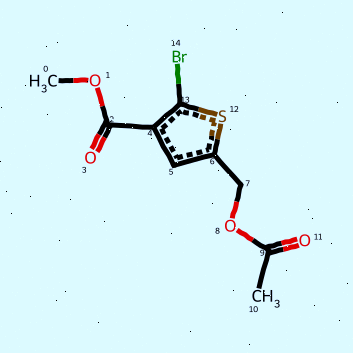 COC(=O)c1cc(COC(C)=O)sc1Br